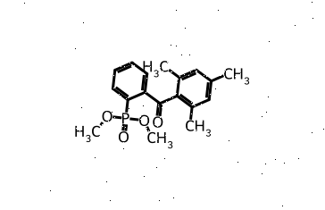 COP(=O)(OC)c1ccccc1C(=O)c1c(C)cc(C)cc1C